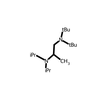 CC(C)N(C(C)C)C(C)CN(C(C)(C)C)C(C)(C)C